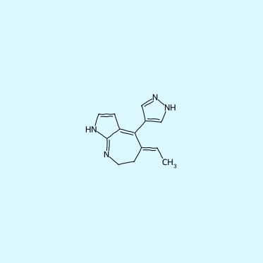 C/C=C1\CCN=c2[nH]ccc2=C1c1cn[nH]c1